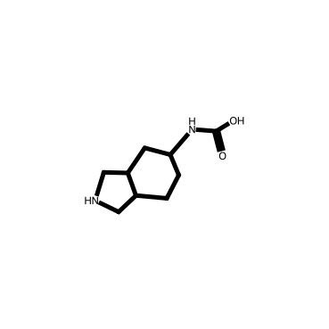 O=C(O)NC1CCC2CNCC2C1